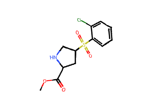 COC(=O)C1CC(S(=O)(=O)c2ccccc2Cl)CN1